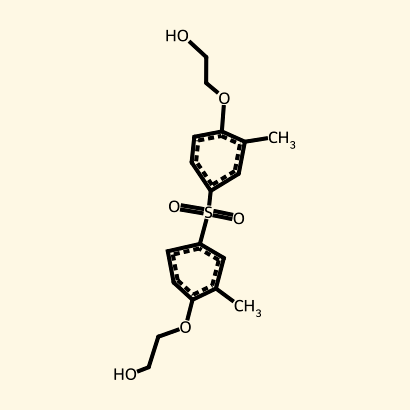 Cc1cc(S(=O)(=O)c2ccc(OCCO)c(C)c2)ccc1OCCO